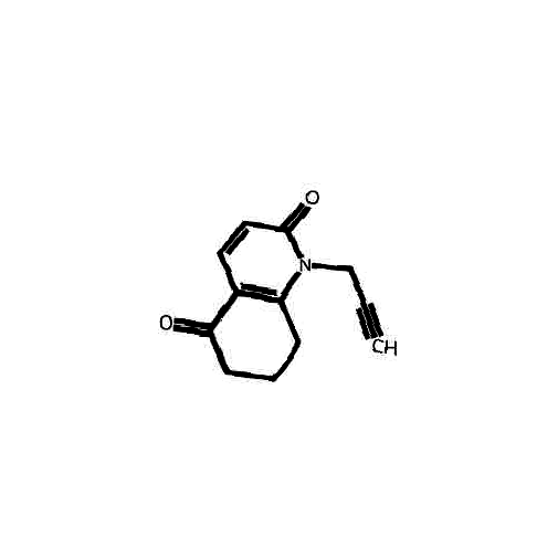 C#CCn1c2c(ccc1=O)C(=O)CCC2